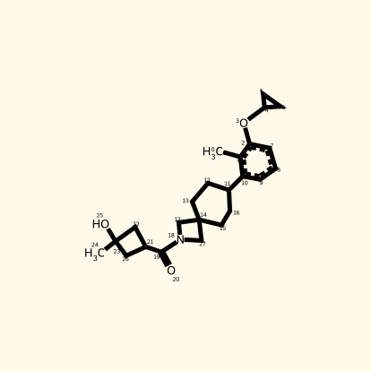 Cc1c(OC2CC2)cccc1C1CCC2(CC1)CN(C(=O)C1CC(C)(O)C1)C2